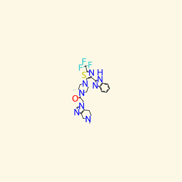 C[C@@H]1CN(c2sc(C(F)(F)F)nc2-c2nc3ccccc3[nH]2)CCN1C(=O)Cn1cnc2c1CCN(C)C2